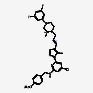 COc1ccc(CNc2cc(Cl)nc(-n3ncc(/C=C/CN4CCN(c5cc(F)cc(F)c5)C[C@@H]4C)c3C)n2)cc1